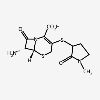 CN1CCC(SC2=C(C(=O)O)N3C(=O)[C@@H](N)[C@H]3SC2)C1=O